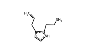 C=CCc1cc[nH]c1CCN